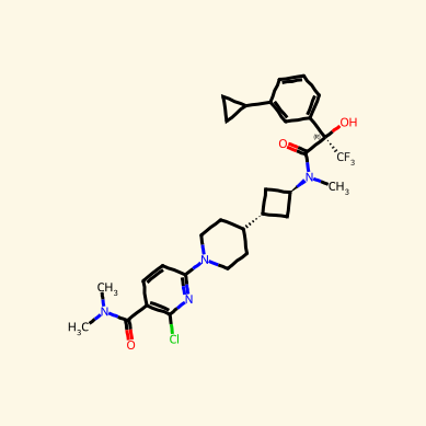 CN(C)C(=O)c1ccc(N2CCC([C@H]3C[C@H](N(C)C(=O)[C@](O)(c4cccc(C5CC5)c4)C(F)(F)F)C3)CC2)nc1Cl